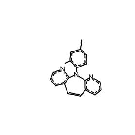 Cc1ccc(N2c3ncccc3C=Cc3cccnc32)c(C)c1